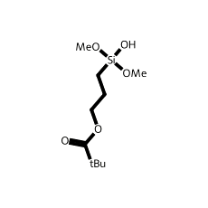 CO[Si](O)(CCCOC(=O)C(C)(C)C)OC